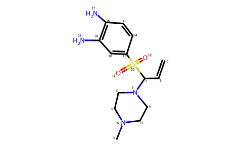 C=CC(N1CCN(C)CC1)S(=O)(=O)c1ccc(N)c(N)c1